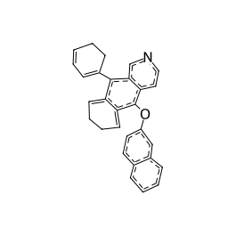 C1=CCCC(c2c3c(c(Oc4ccc5ccccc5c4)c4ccncc24)=CCCC=3)=C1